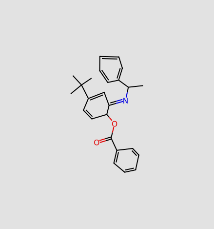 CC(/N=C1\C=C(C(C)(C)C)C=CC1OC(=O)c1ccccc1)c1ccccc1